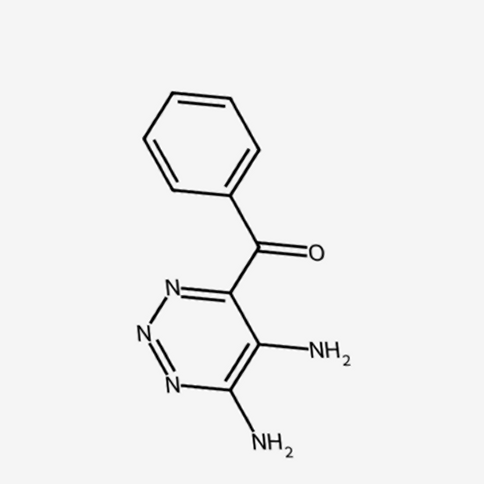 Nc1nnnc(C(=O)c2ccccc2)c1N